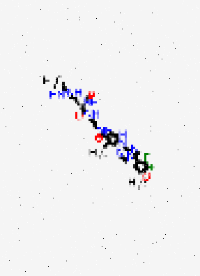 CCC(=N)NCCC[C@H](NC=O)C(=O)NCCCNC(=O)c1ccc(Nc2nccn3c(-c4ccc(OC)c(F)c4F)cnc23)cc1CC